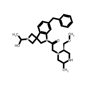 COC[C@H]1CNC(C)CN1CC(=O)N1CC2(CN(C(C)O)C2)c2ccc(Cc3ccccc3)cc21